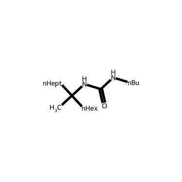 CCCCCCCC(C)(CCCCCC)NC(=O)NCCCC